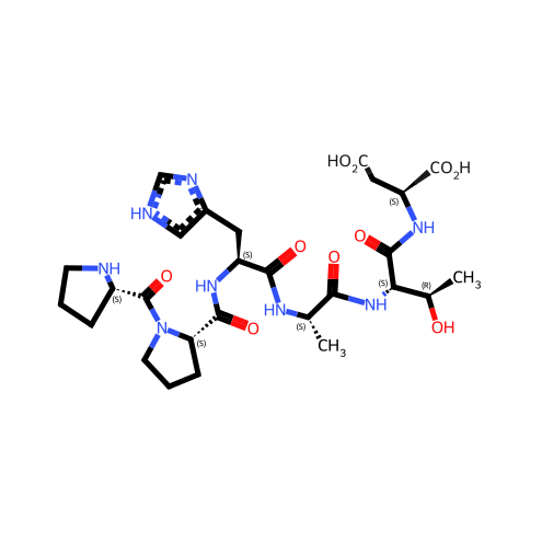 C[C@H](NC(=O)[C@H](Cc1c[nH]cn1)NC(=O)[C@@H]1CCCN1C(=O)[C@@H]1CCCN1)C(=O)N[C@H](C(=O)N[C@@H](CC(=O)O)C(=O)O)[C@@H](C)O